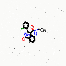 N#CCNC(=O)C(Cc1ccccc1F)c1ccccc1C(N)=O